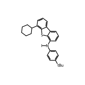 CC(C)(C)c1ccc(N(I)c2cccc3c2sc2c(C4CCCCC4)cccc23)cc1